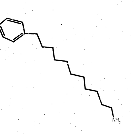 NCCCCCCCCCCCc1ccccc1